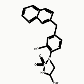 O=CC1CN(c2ccc(Cc3ccc4ccccc4c3)cc2O)S(=O)(=O)N1